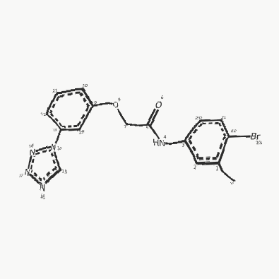 Cc1cc(NC(=O)COc2cccc(-n3cnnn3)c2)ccc1Br